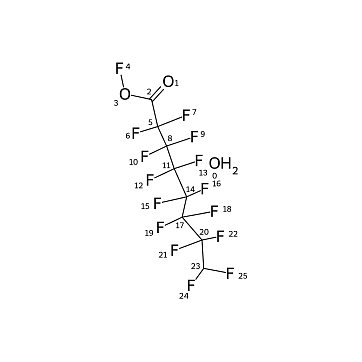 O.O=C(OF)C(F)(F)C(F)(F)C(F)(F)C(F)(F)C(F)(F)C(F)(F)C(F)F